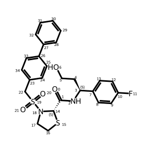 O=C(N[C@@H](CCO)c1ccc(F)cc1)[C@@H]1SCCN1S(=O)(=O)Cc1ccc(-c2ccccc2)cc1